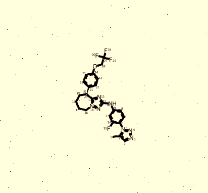 Cc1cnnn1-c1ccc(Nc2nc3n(n2)CCCC[C@H]3c2ccc(OCC(F)(F)F)cc2)cc1F